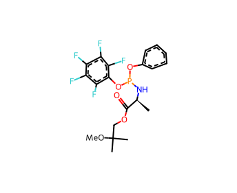 COC(C)(C)COC(=O)[C@H](C)NP(Oc1ccccc1)Oc1c(F)c(F)c(F)c(F)c1F